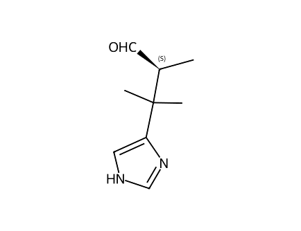 C[C@H](C=O)C(C)(C)c1c[nH]cn1